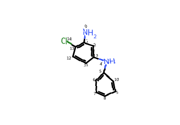 Nc1cc(Nc2ccccc2)ccc1Cl